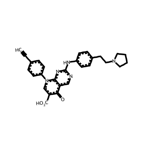 C#Cc1ccc(-n2cc(C(=O)O)c(=O)c3cnc(Nc4ccc(CCN5CCCC5)cc4)nc32)cc1